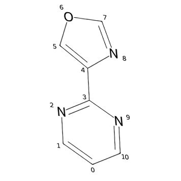 c1cnc(-c2cocn2)nc1